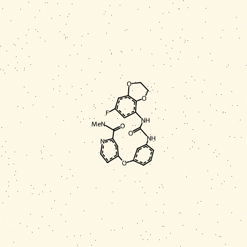 CNC(=O)c1cc(Oc2cccc(NC(=O)Nc3cc(F)cc4c3OCCO4)c2)ccn1